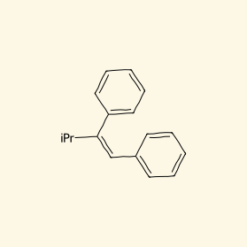 CC(C)C(=Cc1ccccc1)c1ccccc1